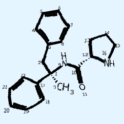 C[C@](Cc1ccccc1)(NC(=O)[C@@H]1CCCN1)c1ccccc1